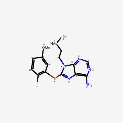 CCCC[AsH]CCn1c(Sc2cc(OC)ccc2I)nc2c(N)ncnc21